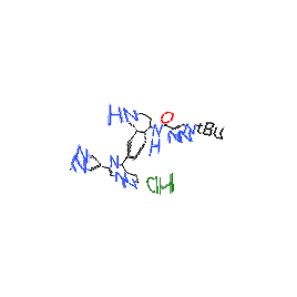 Cl.Cn1cc(-c2cn3nccc3c(-c3ccc4c(c3)CNCC[C@H]4NC(=O)c3cn(C(C)(C)C)nn3)n2)cn1